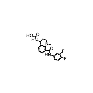 CN1CCC(NC(=O)O)c2cccc(C(=O)Nc3ccc(F)c(F)c3)c21